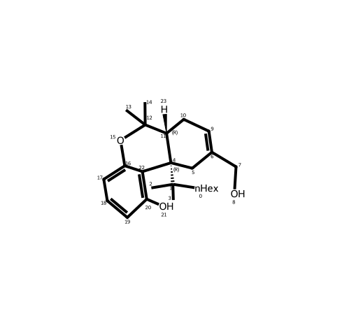 CCCCCCC(C)(C)[C@@]12CC(CO)=CC[C@H]1C(C)(C)Oc1cccc(O)c12